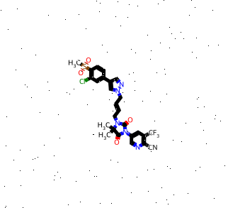 CC1(C)C(=O)N(c2cnc(C#N)c(C(F)(F)F)c2)C(=O)N1CC=CCn1cc(-c2ccc(S(C)(=O)=O)c(Cl)c2)cn1